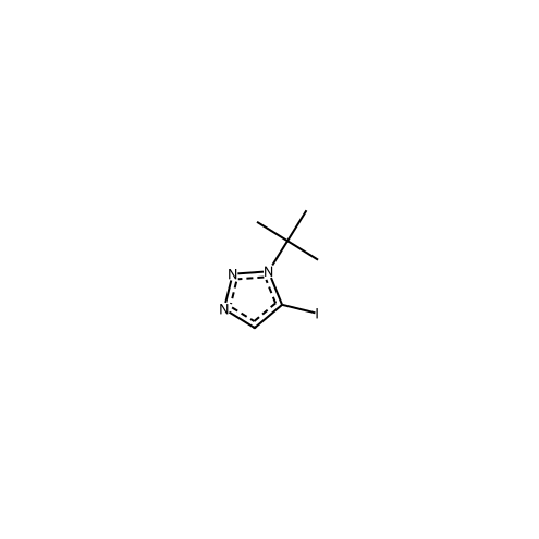 CC(C)(C)n1nncc1I